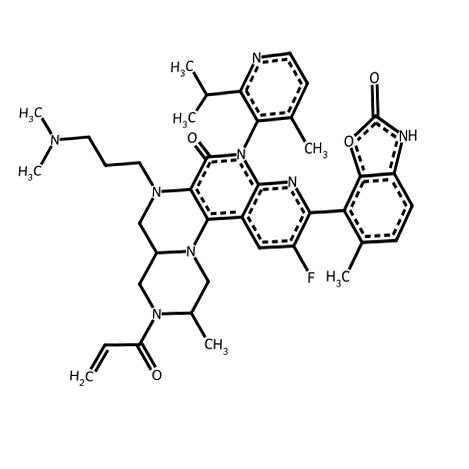 C=CC(=O)N1CC2CN(CCCN(C)C)c3c(c4cc(F)c(-c5c(C)ccc6[nH]c(=O)oc56)nc4n(-c4c(C)ccnc4C(C)C)c3=O)N2CC1C